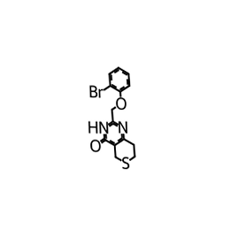 O=c1[nH]c(COc2ccccc2Br)nc2c1CSCC2